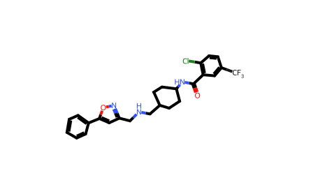 O=C(NC1CCC(CNCc2cc(-c3ccccc3)on2)CC1)c1cc(C(F)(F)F)ccc1Cl